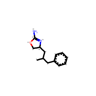 CC(Cc1ccccc1)CC1COC(N)=N1